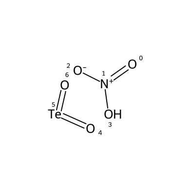 O=[N+]([O-])O.O=[Te]=O